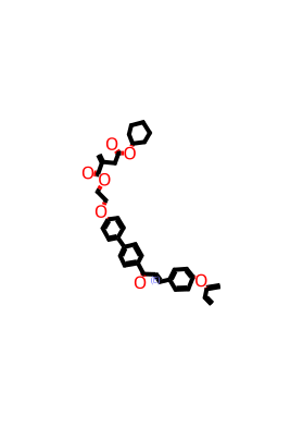 C=CC(=C)Oc1ccc(/C=C/C(=O)c2ccc(-c3ccc(OCCOC(=O)C(=C)CC(=O)OC4CCCCC4)cc3)cc2)cc1